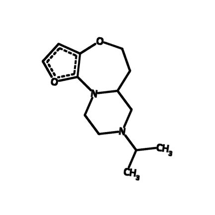 CC(C)N1CCN2c3occc3OCCC2C1